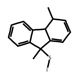 CC1C=CC=C2C1c1ccccc1C2(C)SI